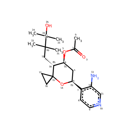 CC(=O)O[C@H]1C[C@@H](c2ccncc2N)OC2(CC2)[C@@H]1CC(C)(C)[Si](C)(C)O